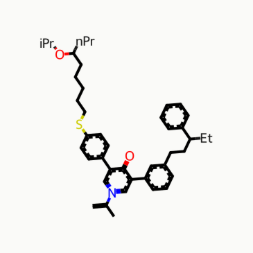 C=C(C)n1cc(-c2ccc(SCCCCCC(CCC)OC(C)C)cc2)c(=O)c(-c2cccc(CCC(CC)c3ccccc3)c2)c1